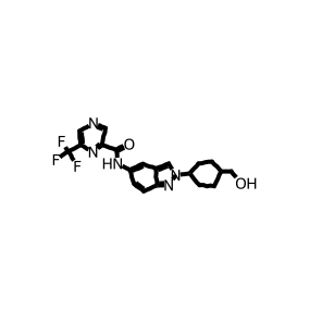 O=C(Nc1ccc2nn(C3CCC(CO)CC3)cc2c1)c1cncc(C(F)(F)F)n1